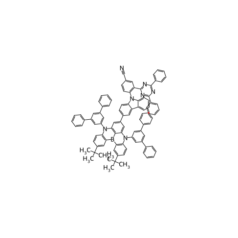 CC(C)(C)c1ccc2c(c1)B1c3cc(C(C)(C)C)ccc3N(c3cc(-c4ccccc4)cc(-c4ccccc4)c3)c3cc(-c4ccc5c(c4)c4ccccc4n5-c4ccc(C#N)cc4-c4nc(-c5ccccc5)nc(-c5ccccc5)n4)cc(c31)N2c1cc(-c2ccccc2)cc(-c2ccccc2)c1